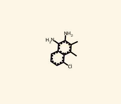 Cc1c(N)c(N)c2cccc(Cl)c2c1C